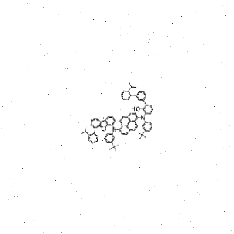 CC(C)c1ccccc1-c1cccc(-c2cccc(N(c3cccc(C(C)(C)C)c3)c3ccc4ccc5c(N(c6cccc(C(C)(C)C)c6)c6cccc7c6oc6c(-c8ccccc8C(C)C)cccc67)ccc6ccc3c4c65)c2O)c1